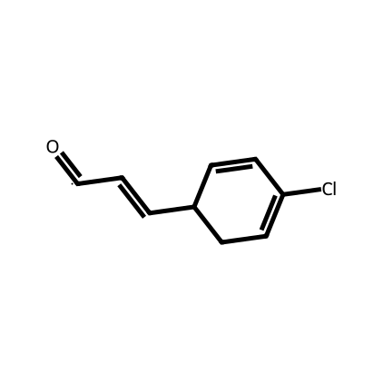 O=[C]C=CC1C=CC(Cl)=CC1